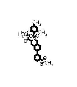 COC(=O)C1Cc2cc(-c3cccc(S(C)(=O)=O)c3)ccc2CN1S(=O)(=O)c1c(C)cc(C)cc1C